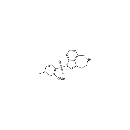 COc1cc(C)ccc1S(=O)(=O)n1cc2c3c(cccc31)CNCC2